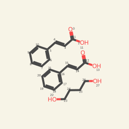 O=C(O)C=Cc1ccccc1.O=C(O)C=Cc1ccccc1.OCCCCO